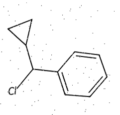 ClC(c1ccccc1)C1CC1